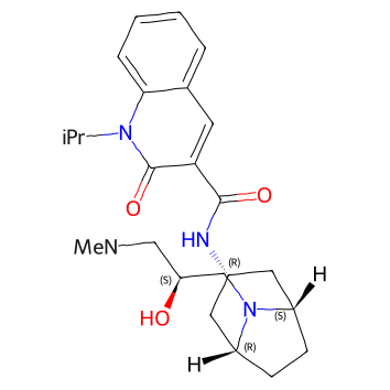 CNC[C@H](O)CN1[C@@H]2CC[C@H]1C[C@@H](NC(=O)c1cc3ccccc3n(C(C)C)c1=O)C2